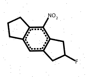 O=[N+]([O-])c1c2c(cc3c1CC(F)C3)CCC2